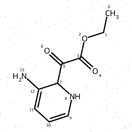 CCOC(=O)C(=O)C1NC=CC=C1N